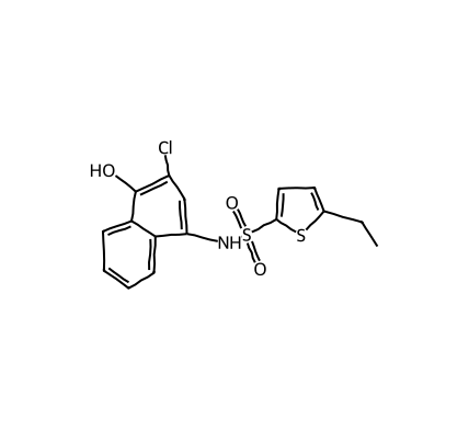 CCc1ccc(S(=O)(=O)Nc2cc(Cl)c(O)c3ccccc23)s1